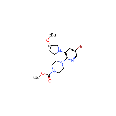 CC(C)(C)OC(=O)N1CCN(c2ncc(Br)cc2N2CC[C@H](OC(C)(C)C)C2)CC1